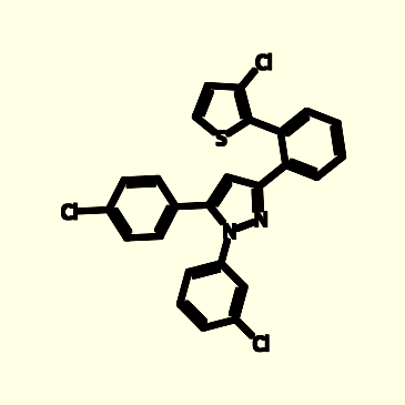 Clc1ccc(-c2cc(-c3ccccc3-c3sccc3Cl)nn2-c2cccc(Cl)c2)cc1